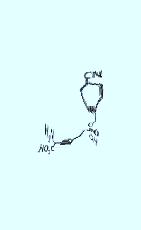 N#Cc1ccc(COP(=O)(O)CCC(N)C(=O)O)cc1